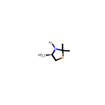 CC(=O)N1[C@H](C(=O)O)CSC1(C)C